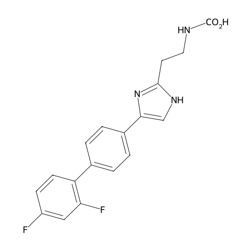 O=C(O)NCCc1nc(-c2ccc(-c3ccc(F)cc3F)cc2)c[nH]1